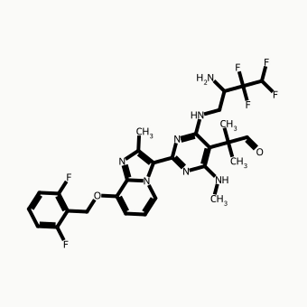 CNc1nc(-c2c(C)nc3c(OCc4c(F)cccc4F)cccn23)nc(NCC(N)C(F)(F)C(F)F)c1C(C)(C)C=O